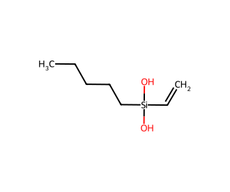 C=C[Si](O)(O)CCCCC